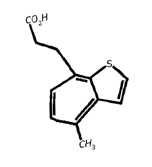 Cc1ccc(CCC(=O)O)c2sccc12